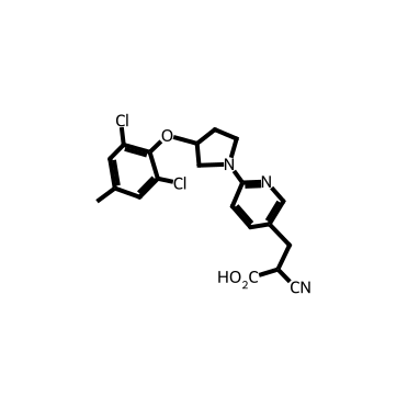 Cc1cc(Cl)c(OC2CCN(c3ccc(CC(C#N)C(=O)O)cn3)C2)c(Cl)c1